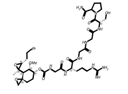 CO[C@@H]1[C@H](OC(=O)NCC(=O)N[C@@H](CCCNC(=N)N)C(=O)NCC(=O)NCC(=O)N[C@@H](CO)C(=O)N2CCCC2C(N)=O)CC[C@]2(CO2)[C@H]1[C@@]1(C)O[C@@H]1CCC(C)C